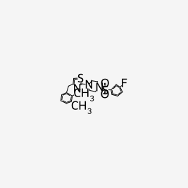 Cc1cccc(Cc2csc(N3CCN(S(=O)(=O)c4cccc(F)c4)CC3)n2)c1C